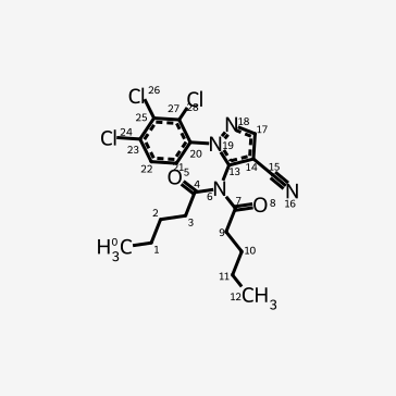 CCCCC(=O)N(C(=O)CCCC)c1c(C#N)cnn1-c1ccc(Cl)c(Cl)c1Cl